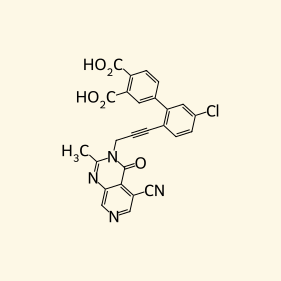 Cc1nc2cncc(C#N)c2c(=O)n1CC#Cc1ccc(Cl)cc1-c1ccc(C(=O)O)c(C(=O)O)c1